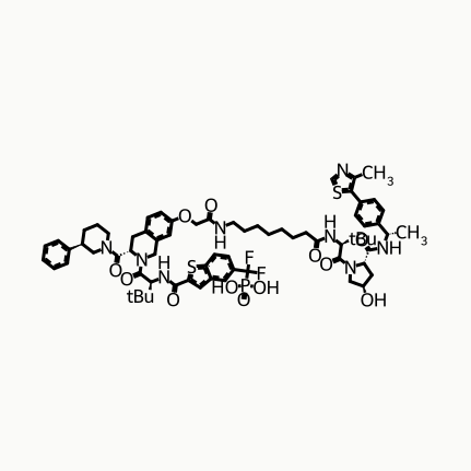 Cc1ncsc1-c1ccc([C@H](C)NC(=O)[C@@H]2C[C@@H](O)CN2C(=O)[C@@H](NC(=O)CCCCCCCNC(=O)COc2ccc3c(c2)CN(C(=O)[C@@H](NC(=O)c2cc4cc(C(F)(F)P(=O)(O)O)ccc4s2)C(C)(C)C)[C@H](C(=O)N2CCC[C@H](c4ccccc4)C2)C3)C(C)(C)C)cc1